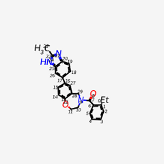 CCc1ccccc1C(=O)N1CCOc2ccc(-c3ccc4nc(C)[nH]c4c3)cc2C1